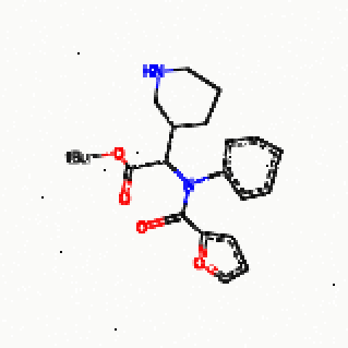 CC(C)(C)OC(=O)C(C1CCCNC1)N(C(=O)c1ccco1)c1ccccc1